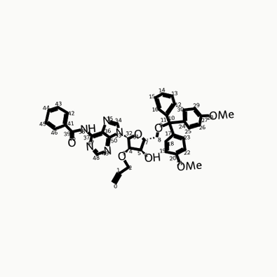 C#CCO[C@@H]1[C@H](O)[C@@H](COC(c2ccccc2)(c2ccc(OC)cc2)c2ccc(OC)cc2)O[C@H]1n1cnc2c(NC(=O)c3ccccc3)ncnc21